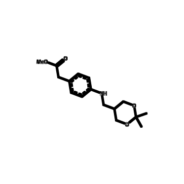 COC(=O)Cc1ccc(NCC2COC(C)(C)OC2)cc1